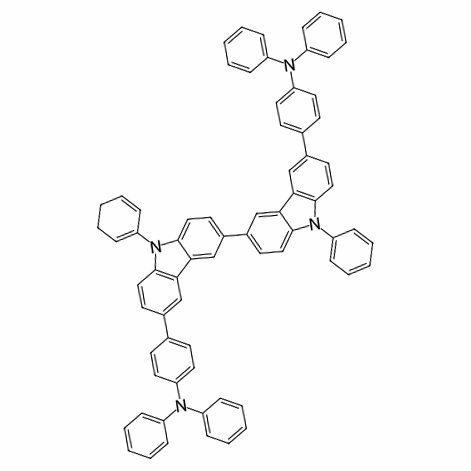 C1=CC(n2c3ccc(-c4ccc(N(c5ccccc5)c5ccccc5)cc4)cc3c3cc(-c4ccc5c(c4)c4cc(-c6ccc(N(c7ccccc7)c7ccccc7)cc6)ccc4n5-c4ccccc4)ccc32)=CCC1